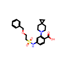 O=C(O)c1ccc(NS(=O)(=O)CCOCc2ccccc2)cc1N1CCC2(CC1)CC2